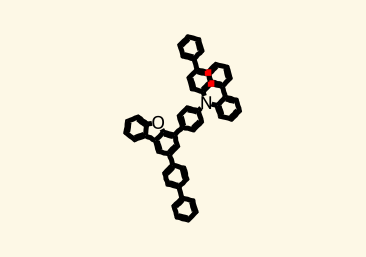 c1ccc(-c2ccc(-c3cc(-c4ccc(N(c5ccc(-c6ccccc6)cc5)c5ccccc5-c5ccccc5)cc4)c4oc5ccccc5c4c3)cc2)cc1